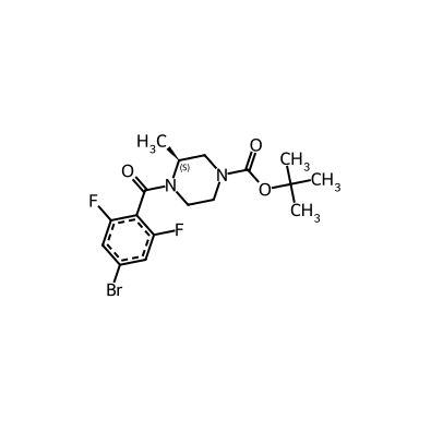 C[C@H]1CN(C(=O)OC(C)(C)C)CCN1C(=O)c1c(F)cc(Br)cc1F